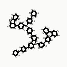 c1ccc(-c2ccc(-c3ccc4c(c3)c3cc(-c5ccc(N(c6ccc(-c7ccccc7)cc6)c6ccc(-c7cccc8oc9ccccc9c78)cc6)cc5)ccc3n4-c3cccc(-c4ccc5c6ccccc6c6ccccc6c5c4)c3)cc2)cc1